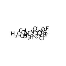 CC(C)(C)OC(=O)N1CCN2C(=O)c3cc(OC(F)F)c(Br)c(Cl)c3OC[C@H]2C1